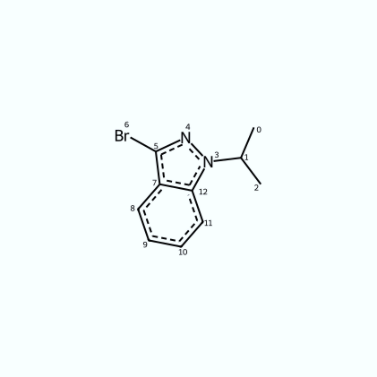 CC(C)n1nc(Br)c2ccccc21